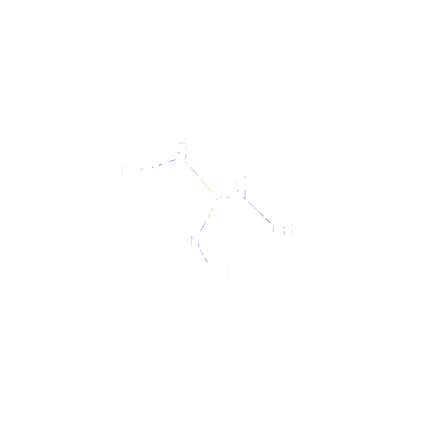 CNP(NC)NC